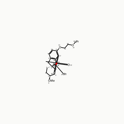 CO[C@H]1CC[C@]2(CC1)Cc1ccc(OCCOC(C)C)cc1C21NC(=O)N(C(C)C)C1=O